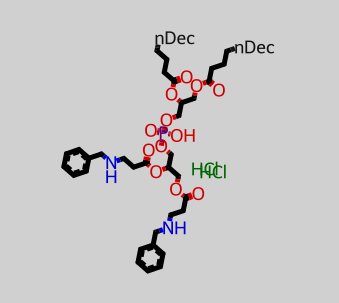 CCCCCCCCCCCCCC(=O)OCC(COP(=O)(O)OCC(COC(=O)CCNCc1ccccc1)OC(=O)CCNCc1ccccc1)OC(=O)CCCCCCCCCCCCC.Cl.Cl